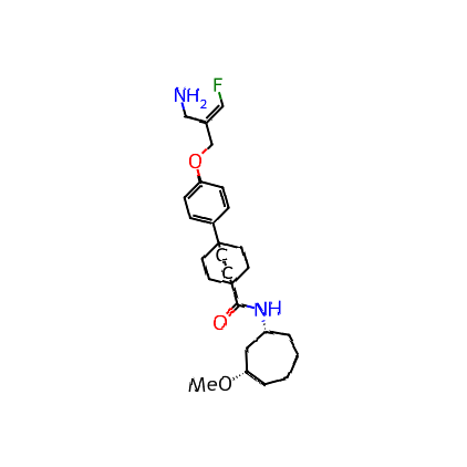 CO[C@H]1CCCC[C@@H](NC(=O)C23CCC(c4ccc(OC/C(=C/F)CN)cc4)(CC2)CC3)C1